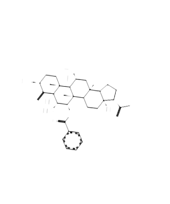 C=C1[C@@H]2[C@H](O)[C@H](OC(=O)c3ccccc3)[C@]3(C)[C@H]([C@@H](O)C[C@@H]4[C@@]5(C)CC[C@@H](C(=C)C)[C@@H]5CC[C@]43C)[C@@]2(C)CC[C@@H]1O